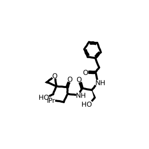 CC(C)CC(NC(=O)[C@H](CO)NC(=O)Cc1ccccc1)C(=O)C1(CO)CO1